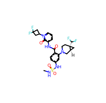 CNS(=O)(=O)Nc1ccc(C(=O)Nc2cccn(C3CC(F)(F)C3)c2=O)c(N2CC[C@@]3(C(F)F)C[C@H]3C2)c1